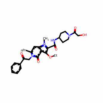 CCCc1cc2c(c(OCC)c(C(=O)NC3CCN(C(=O)CO)CC3)n2C)c(=O)n1CC(=O)c1ccccc1